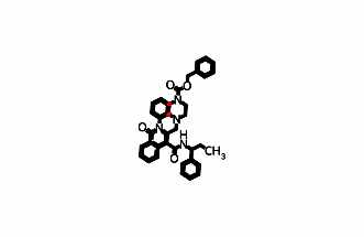 CCC(NC(=O)c1c(CN2CCN(C(=O)OCc3ccccc3)CC2)n(-c2ccccc2)c(=O)c2ccccc12)c1ccccc1